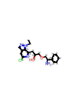 CCn1ncc2cc(Cl)nc(CC(O)COCC(N)c3ccccc3)c21